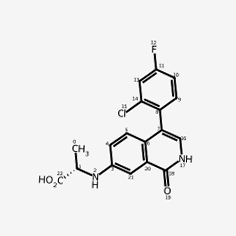 C[C@H](Nc1ccc2c(-c3ccc(F)cc3Cl)c[nH]c(=O)c2c1)C(=O)O